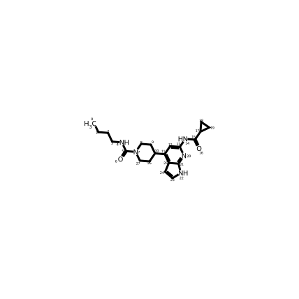 CCCCNC(=O)N1CCC(c2cc(NC(=O)C3CC3)nc3[nH]ccc23)CC1